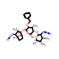 CC[C@@H]1O[C@H](O[C@H]2[C@H](C)C(OCc3ccccc3)[C@H](O[C@@H]3C4CC[C@H](O4)C(N=[N+]=[N-])[C@H]3C)O[C@H]2C(C)=O)C(N=[N+]=[N-])[C@@H](C)[C@@H]1C